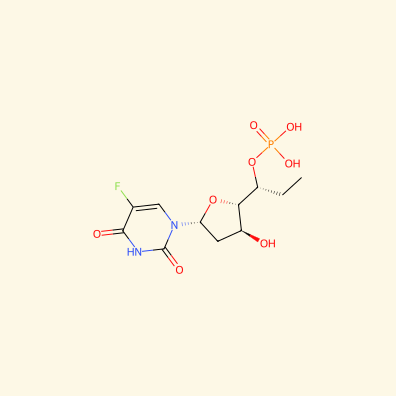 CC[C@@H](OP(=O)(O)O)[C@H]1O[C@@H](n2cc(F)c(=O)[nH]c2=O)C[C@@H]1O